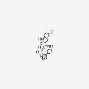 Cc1nnnn1-c1cccc(NC(C)c2cc3cc(Cl)c(F)cc3[nH]c2=O)c1